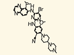 COc1cc(N2CCC(N3CCN(C)CC3)CC2)c(C#N)cc1Nc1ncc(Br)c(Nc2ccc3nccnc3c2P(C)C)n1